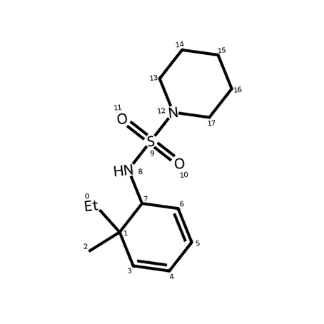 CCC1(C)C=CC=CC1NS(=O)(=O)N1CCCCC1